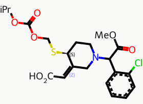 COC(=O)C(c1ccccc1Cl)N1CC[C@H](SCOC(=O)OC(C)C)/C(=C\C(=O)O)C1